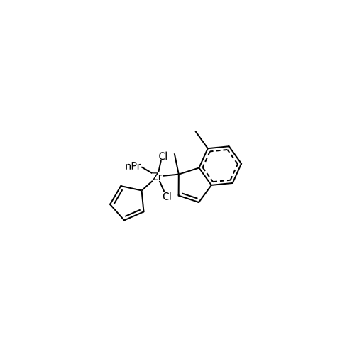 CC[CH2][Zr]([Cl])([Cl])([CH]1C=CC=C1)[C]1(C)C=Cc2cccc(C)c21